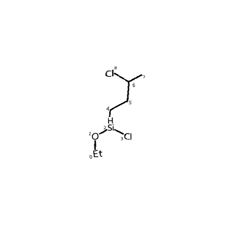 CCO[SiH](Cl)CCC(C)Cl